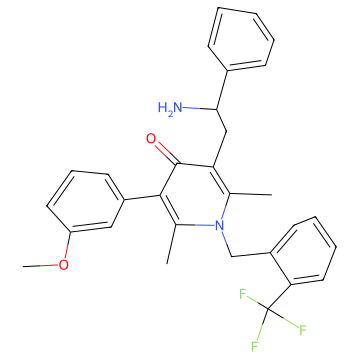 COc1cccc(-c2c(C)n(Cc3ccccc3C(F)(F)F)c(C)c(CC(N)c3ccccc3)c2=O)c1